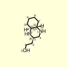 OCC[C@@H]1CN[C@H]2CCCC[C@@H]2N1